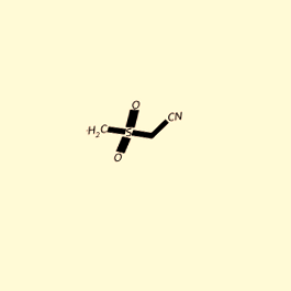 [CH2]S(=O)(=O)CC#N